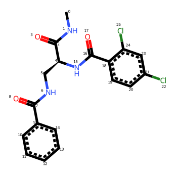 CNC(=O)[C@H](CNC(=O)c1ccccc1)NC(=O)c1ccc(Cl)cc1Cl